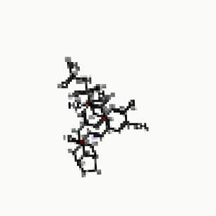 Cc1cc(/C=C/C(=O)N2C3CCC2CN(Cc2ccc(F)cc2)C3)c(CC(C)(C)S(=O)(=O)NC(N)=O)cc1Cl